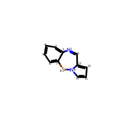 C1=Nc2ccccc2Sn2cccc21